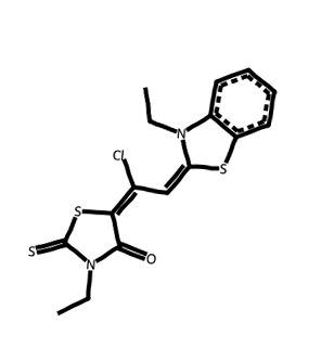 CCN1C(=O)C(=C(Cl)C=C2Sc3ccccc3N2CC)SC1=S